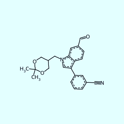 CC1(C)OCC(Cn2cc(-c3cccc(C#N)c3)c3ccc(C=O)cc32)CO1